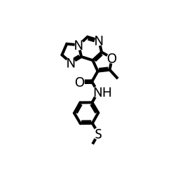 CSc1cccc(NC(=O)c2c(C)oc3c2C2=NCCN2C=N3)c1